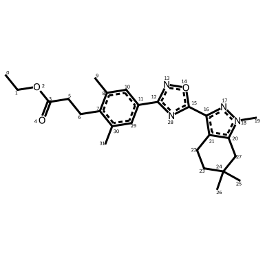 CCOC(=O)CCc1c(C)cc(-c2noc(-c3nn(C)c4c3CCC(C)(C)C4)n2)cc1C